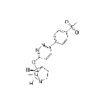 C[C@H]1[C@H](Oc2ccc(-c3ccc(S(C)(=O)=O)cc3)nn2)C2CCN1CC2